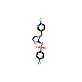 O=S(=O)(N=C1SCCN1Cc1ccc(Cl)nc1)c1ccc(Cl)cc1